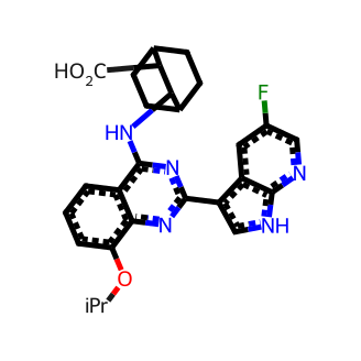 CC(C)Oc1cccc2c(NC3C4CCC(CC4)C3C(=O)O)nc(-c3c[nH]c4ncc(F)cc34)nc12